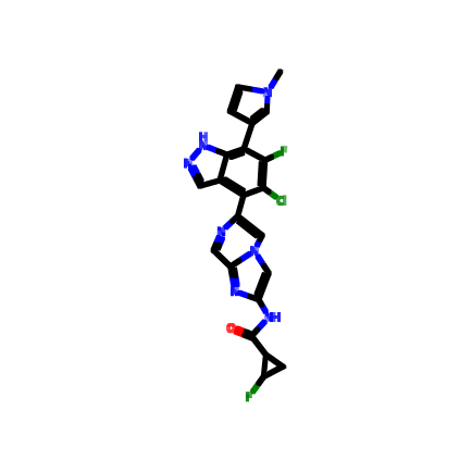 Cn1ccc(-c2c(F)c(Cl)c(-c3cn4cc(NC(=O)C5CC5F)nc4cn3)c3cn[nH]c23)c1